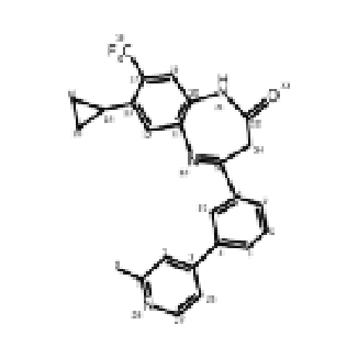 Cc1cc(-c2cccc(C3=Nc4cc(C5CC5)c(C(F)(F)F)cc4NC(=O)C3)c2)ccn1